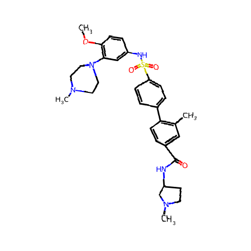 COc1ccc(NS(=O)(=O)c2ccc(-c3ccc(C(=O)NC4CCN(C)C4)cc3C)cc2)cc1N1CCN(C)CC1